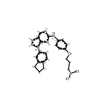 CCN(CC)CCCOc1ccc(Nc2ncc3nnn(-c4ccc5c(c4)CCC5)c3n2)cc1